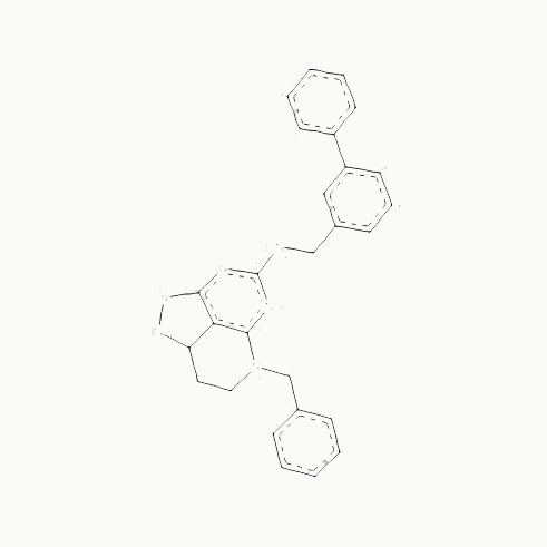 c1ccc(CN2CCC3NNc4nc(NCc5cccc(-c6ccccc6)c5)nc2c43)cc1